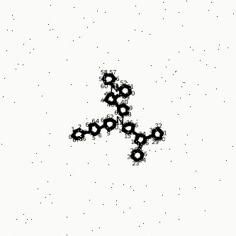 c1ccc(-c2ccc(-c3ccc(N(c4ccc(-c5cc(-c6ccccc6)cc(-c6ccccc6)c5)cc4)c4cccc(-c5cccc6c5c5ccccc5n6-c5ccccc5)c4)cc3)cc2)cc1